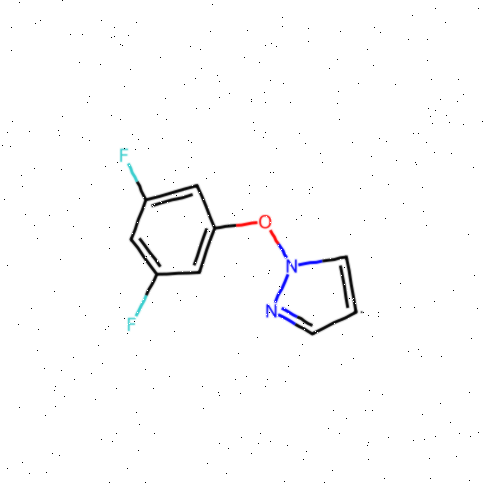 Fc1cc(F)cc(On2c[c]cn2)c1